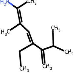 C=C(/C(=C/C(C)=C(\C)N)CC)C(C)C